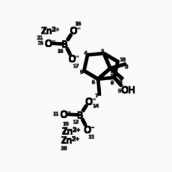 CC1(C)C2CCC1(C)C(O)C2.[O-]B([O-])[O-].[O-]B([O-])[O-].[Zn+2].[Zn+2].[Zn+2]